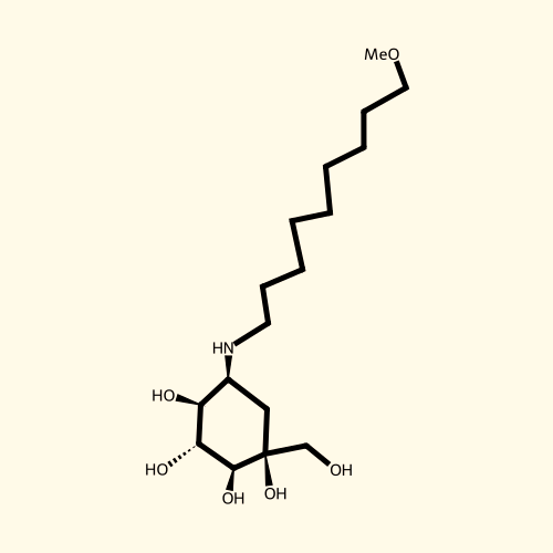 COCCCCCCCCCN[C@H]1C[C@](O)(CO)[C@@H](O)[C@H](O)[C@H]1O